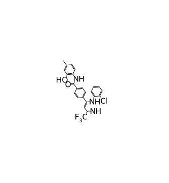 Cc1ccc(NC(=O)c2ccc(/C(=C/C(=N)C(F)(F)F)Nc3ccccc3Cl)cc2)c(O)c1